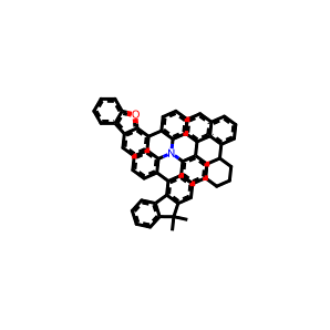 CC1(C)c2ccccc2-c2c(-c3ccccc3N(c3ccccc3-c3cccc4c3oc3ccccc34)c3ccccc3-c3cccc4cccc(C5CCCCC5)c34)cccc21